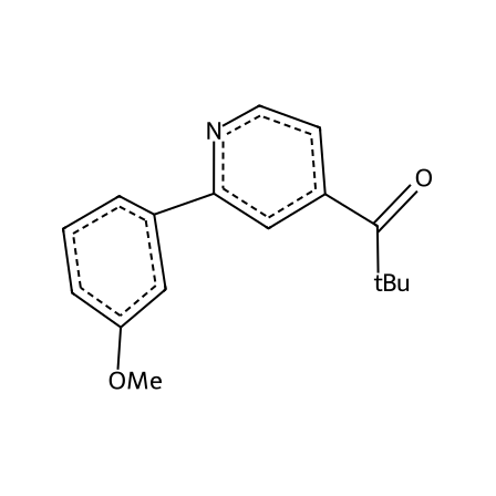 COc1cccc(-c2cc(C(=O)C(C)(C)C)ccn2)c1